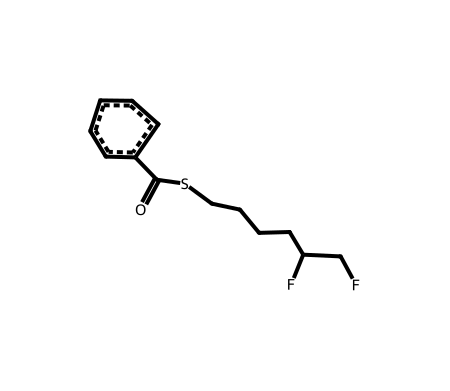 O=C(SCCCCC(F)CF)c1ccccc1